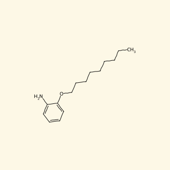 CCCCCCCCCOc1ccccc1N